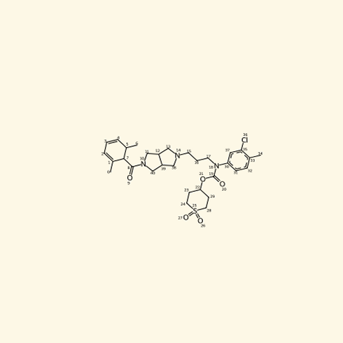 CC1=CC=CC(C)C1C(=O)N1CC2CN(CCCN(C(=O)OC3CCS(=O)(=O)CC3)c3ccc(C)c(Cl)c3)CC2C1